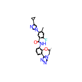 Cc1cc(F)c(C(=O)Nc2cccc3c2O[C@H](C)Cn2cnnc2-3)cc1-n1cnc(C2CC2)c1